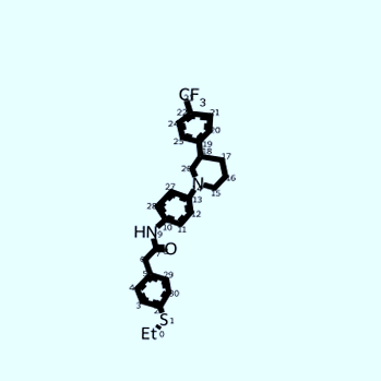 CCSc1ccc(CC(=O)Nc2ccc(N3CCCC(c4ccc(C(F)(F)F)cc4)C3)cc2)cc1